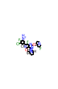 C[C@@H]1Oc2nc(-c3cc(N)c(F)c(Cl)c3C(F)(F)F)c(F)c3nc(OC[C@@]45CCCN4C[C@H](F)C5)nc(c23)N2C[C@H]3CC[C@H](N3)[C@@H]12